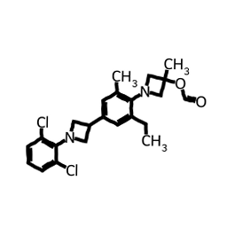 CCc1cc(C2CN(c3c(Cl)cccc3Cl)C2)cc(C)c1N1CC(C)(OC=O)C1